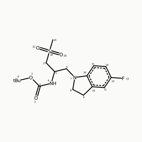 CC(C)(C)OC(=O)NC(CN1CCc2cc(F)ccc21)CS(C)(=O)=O